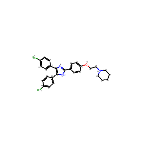 Brc1ccc(-c2nc(-c3ccc(OCCN4CCCCC4)cc3)[nH]c2-c2ccc(Br)cc2)cc1